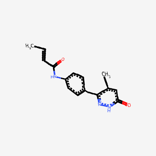 C/C=C/C(=O)Nc1ccc(-c2n[nH]c(=O)cc2C)cc1